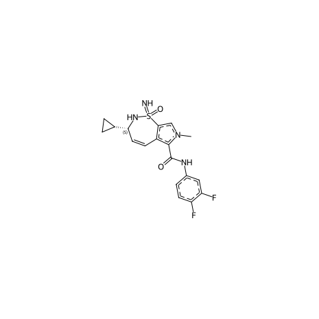 Cn1cc2c(c1C(=O)Nc1ccc(F)c(F)c1)C=C[C@H](C1CC1)NS2(=N)=O